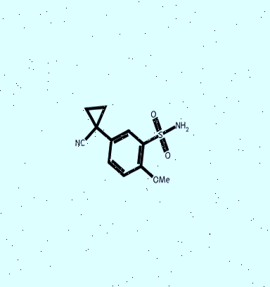 COc1ccc(C2(C#N)CC2)cc1S(N)(=O)=O